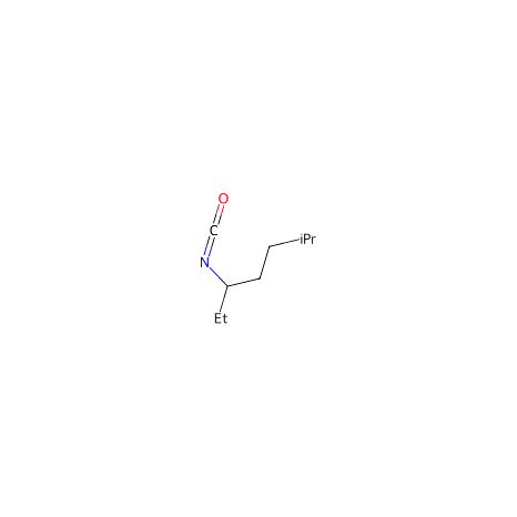 CCC(CCC(C)C)N=C=O